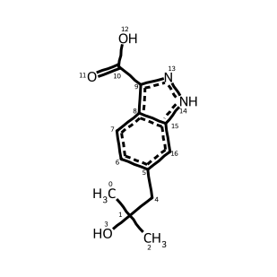 CC(C)(O)Cc1ccc2c(C(=O)O)n[nH]c2c1